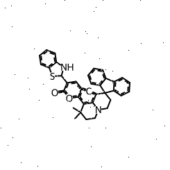 CC1(C)CCN2CCC3(c4ccccc4-c4ccccc43)c3cc4cc(C5Nc6ccccc6S5)c(=O)oc4c1c32